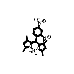 CC1=CC(C)=[N+]2C1=C(c1ccc([N+](=O)[O-])cc1[N+](=O)[O-])c1c(C)cc(C)n1[B-]2(F)F